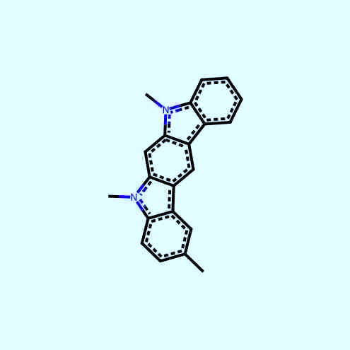 Cc1ccc2c(c1)c1cc3c4ccccc4n(C)c3cc1n2C